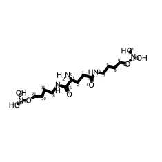 NC(CCC(=O)NCCCCON(O)O)C(=O)NCCCCON(O)O